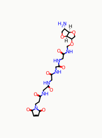 N[C@H]1CO[C@H]2[C@@H]1OC[C@H]2OCNC(=O)CNC(=O)CNC(=O)CNC(=O)CNC(=O)CCN1C(=O)C=CC1=O